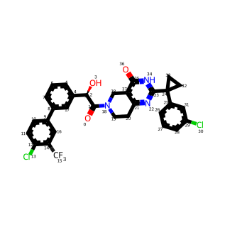 O=C([C@H](O)c1cccc(-c2ccc(Cl)c(C(F)(F)F)c2)c1)N1CCc2nc(C3(c4cccc(Cl)c4)CC3)[nH]c(=O)c2C1